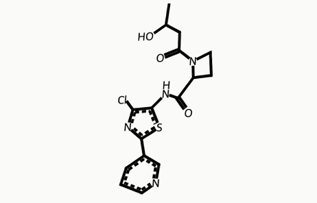 CC(O)CC(=O)N1CCC1C(=O)Nc1sc(-c2cccnc2)nc1Cl